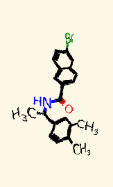 Cc1ccc([C@@H](C)NC(=O)c2ccc3cc(Br)ccc3c2)cc1C